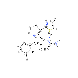 C=C(N(C)C)N(C)c1c(C=O)c(-c2cccc(C)c2)n2c1C(c1nc(C)cs1)CCC2